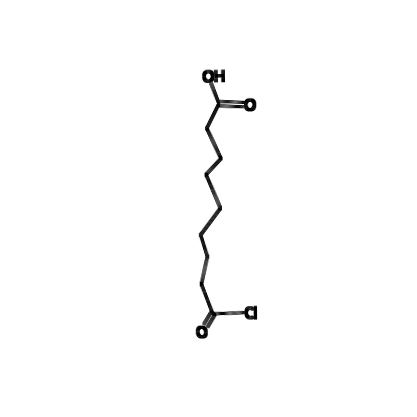 O=C(O)CCCCCCCC(=O)Cl